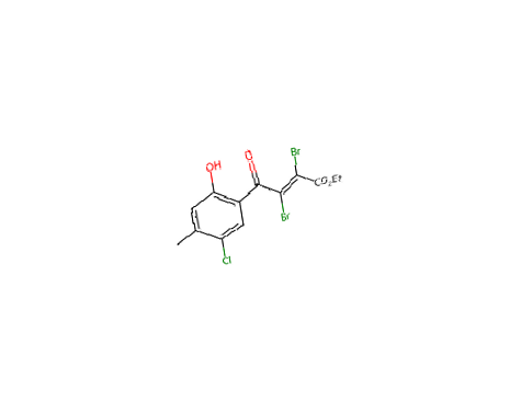 CCOC(=O)/C(Br)=C(\Br)C(=O)c1cc(Cl)c(C)cc1O